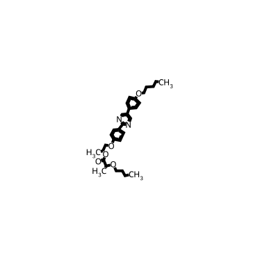 CCCCCOc1ccc(-c2cnc(-c3ccc(OCC(C)OC(=O)C(C)OCCCC)cc3)nc2)cc1